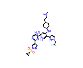 CN(C)CCC1CCC(NC2=CC(N)(c3ccnc(-c4cnn(S(=O)(=O)C5CC5)c4)n3)NC=C2c2ccn(CC(F)F)n2)CC1